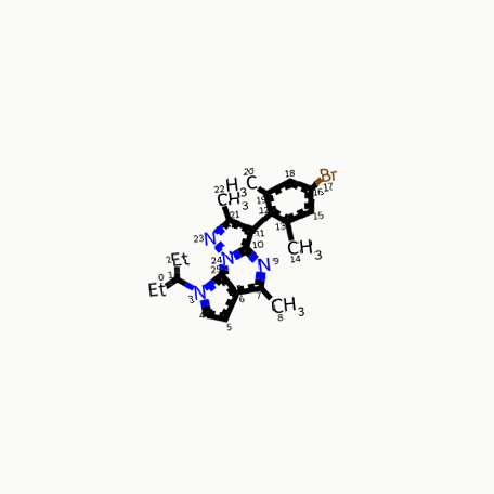 CCC(CC)n1ccc2c(C)nc3c(-c4c(C)cc(Br)cc4C)c(C)nn3c21